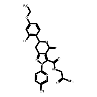 CCc1cc(OCC(F)(F)F)ccc1C1Cc2nn(-c3ccc(C#N)cn3)c(C(=O)NCC(N)=O)c2C(=O)N1